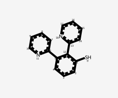 Sc1cccc(-c2ccccn2)c1-c1ccccn1